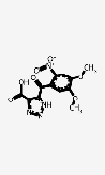 COc1cc(C(=O)c2[nH]nnc2C(=O)O)c([N+](=O)[O-])cc1OC